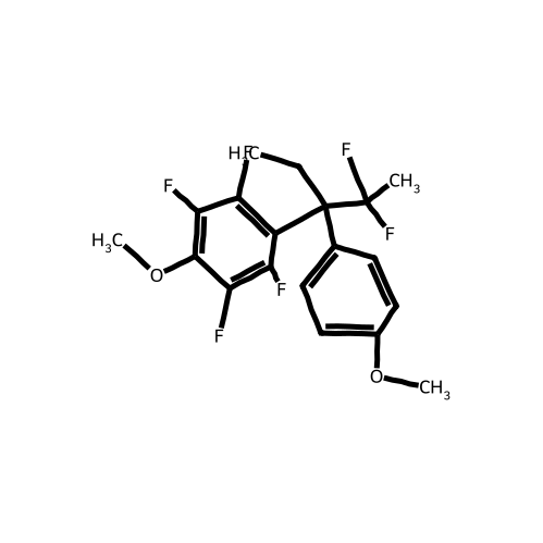 CCC(c1ccc(OC)cc1)(c1c(F)c(F)c(OC)c(F)c1F)C(C)(F)F